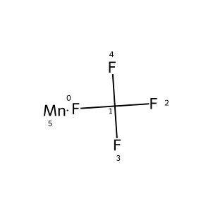 FC(F)(F)F.[Mn]